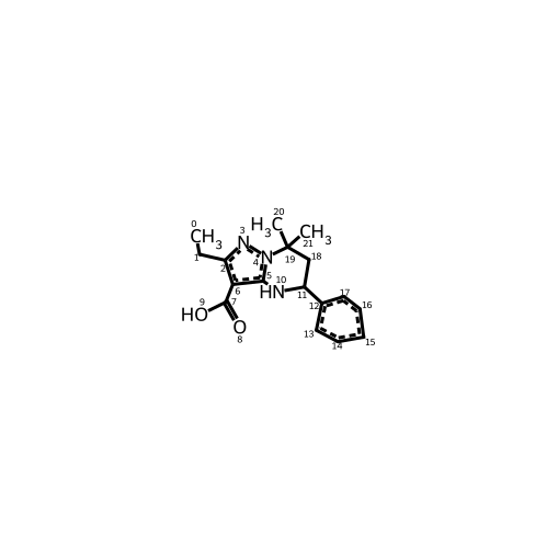 CCc1nn2c(c1C(=O)O)NC(c1ccccc1)CC2(C)C